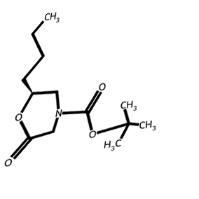 CCCC[C@H]1CN(C(=O)OC(C)(C)C)CC(=O)O1